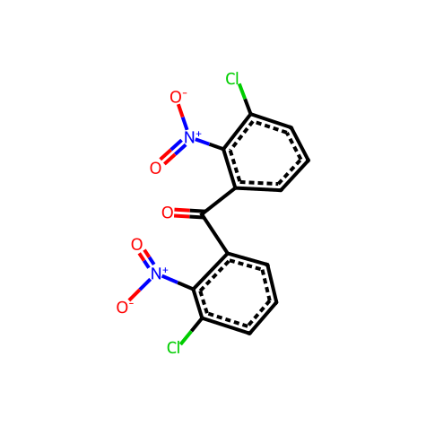 O=C(c1cccc(Cl)c1[N+](=O)[O-])c1cccc(Cl)c1[N+](=O)[O-]